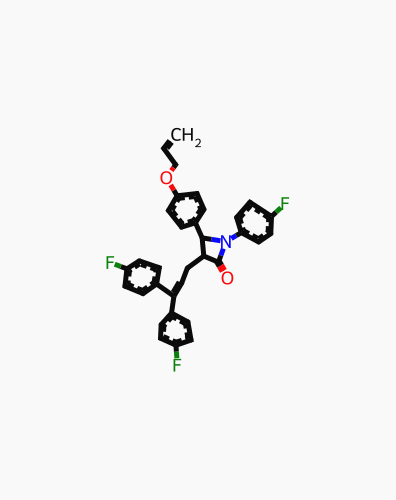 C=CCOc1ccc(C2C(CC=C(c3ccc(F)cc3)c3ccc(F)cc3)C(=O)N2c2ccc(F)cc2)cc1